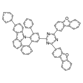 c1ccc(-c2ccc3c(c2)c2ccccc2n3-c2c(-c3ccccc3)cc(-c3nc(-c4ccc5c(c4)oc4ccccc45)nc(-c4ccc5oc6ccccc6c5c4)n3)cc2-c2ccccc2)cc1